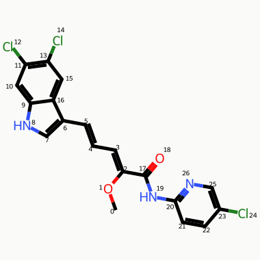 COC(=CC=Cc1c[nH]c2cc(Cl)c(Cl)cc12)C(=O)Nc1ccc(Cl)cn1